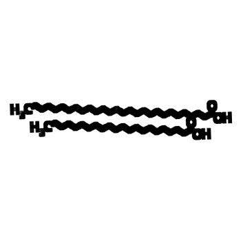 CCCCCCCCCCCCCCCCCCCCCC(=O)O.CCCCCCCCCCCCCCCCCCCCCCCCCCCC(=O)O